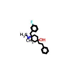 CN(C)C1(Cc2cccc(F)c2)CCC(O)(CCc2ccccc2)CC1